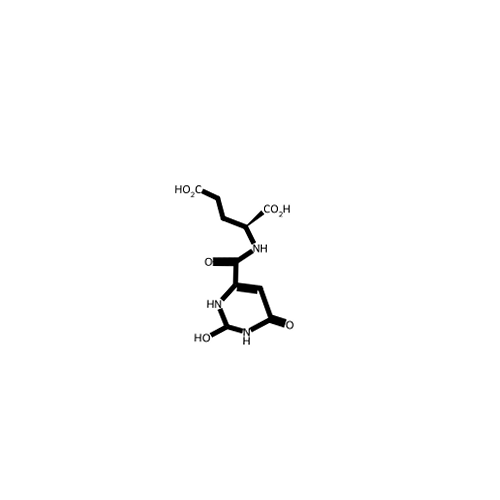 O=C(O)CC[C@H](NC(=O)C1=CC(=O)NC(O)N1)C(=O)O